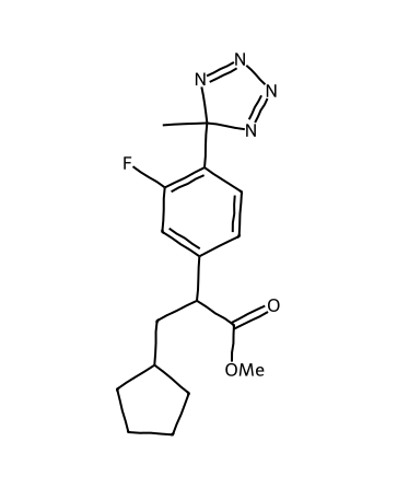 COC(=O)C(CC1CCCC1)c1ccc(C2(C)N=NN=N2)c(F)c1